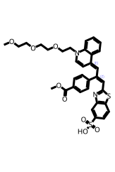 COCCOCCOCCN1C=C/C(=C\C(=C\c2nc3cc(S(=O)(=O)O)ccc3s2)c2ccc(C(=O)OC)cc2)c2ccccc21